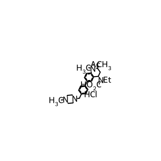 CCN(C(=O)O)C1C[C@H](C)[N@+](C)(C(C)=O)c2ccc(-c3ccc(CN4CCN(C)CC4)cc3)cc21.Cl